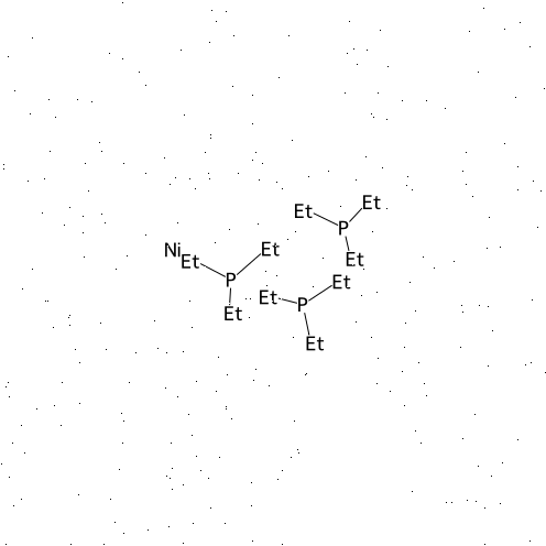 CCP(CC)CC.CCP(CC)CC.CCP(CC)CC.[Ni]